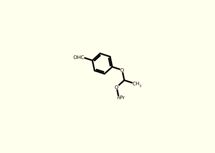 CCCOC(C)Oc1ccc(C=O)cc1